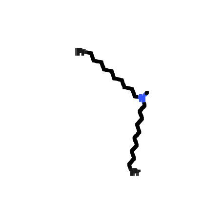 CC(C)CCCCCCCCCCN(C)CCCCCCCCCCC(C)C